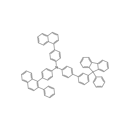 c1ccc(-c2ccc3ccccc3c2-c2ccc(N(c3ccc(-c4cccc(C5(c6ccccc6)c6ccccc6-c6ccccc65)c4)cc3)c3ccc(-c4cccc5ccccc45)cc3)cc2)cc1